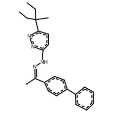 CCC(C)(CC)c1ccc(NN=C(C)c2ccc(-c3ccccc3)cc2)nn1